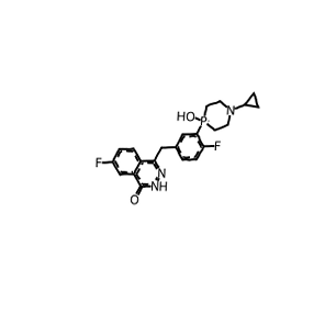 O=c1[nH]nc(Cc2ccc(F)c([P]3(O)CCN(C4CC4)CC3)c2)c2ccc(F)cc12